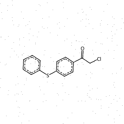 O=C(CCl)c1ccc(Sc2ccccc2)cc1